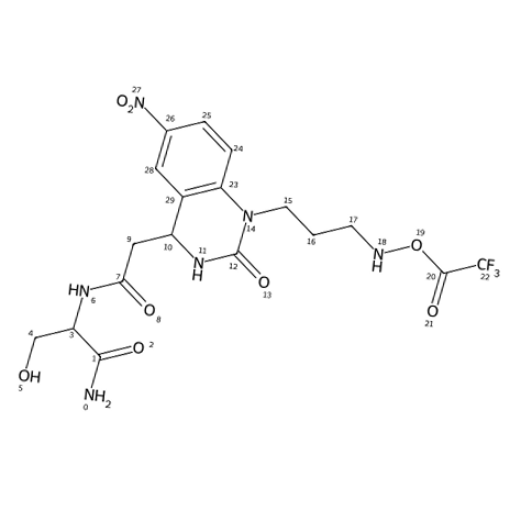 NC(=O)C(CO)NC(=O)CC1NC(=O)N(CCCNOC(=O)C(F)(F)F)c2ccc([N+](=O)[O-])cc21